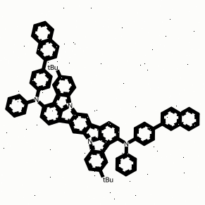 CC(C)(C)c1ccc2c(c1)c1c(N(c3ccccc3)c3ccc(-c4ccc5ccccc5c4)cc3)ccc3c4cc5c(cc4n2c31)c1ccc(N(c2ccccc2)c2ccc(-c3ccc4ccccc4c3)cc2)c2c3cc(C(C)(C)C)ccc3n5c12